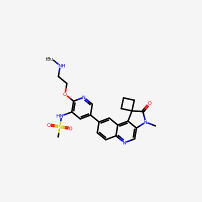 CN1C(=O)C2(CCC2)c2c1cnc1ccc(-c3cnc(OCCNC(C)(C)C)c(NS(C)(=O)=O)c3)cc21